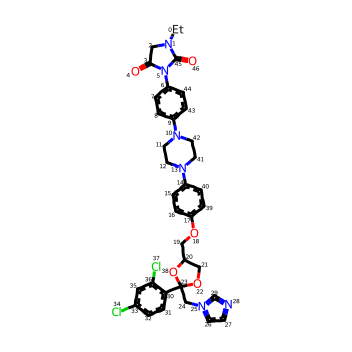 CCN1CC(=O)N(c2ccc(N3CCN(c4ccc(OCC5COC(Cn6ccnc6)(c6ccc(Cl)cc6Cl)O5)cc4)CC3)cc2)C1=O